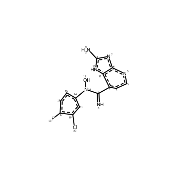 N=C(c1ccnc2nc(N)[nH]c12)N(O)c1ccc(F)c(Cl)c1